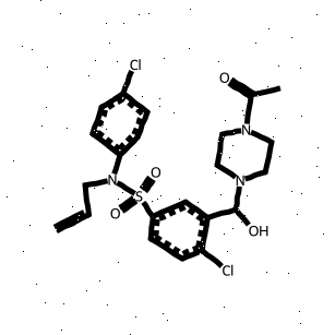 C=CCN(c1ccc(Cl)cc1)S(=O)(=O)c1ccc(Cl)c(C(O)N2CCN(C(C)=O)CC2)c1